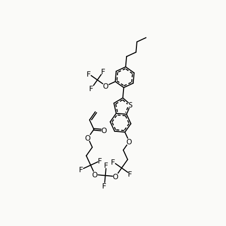 C=CC(=O)OCCC(F)(F)OC(F)(F)OC(F)(F)CCOc1ccc2cc(-c3ccc(CCCC)cc3OC(F)(F)F)sc2c1